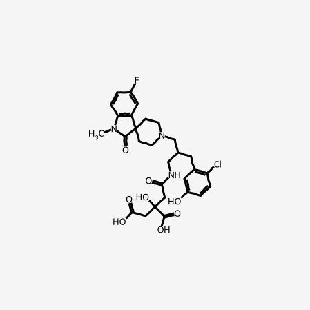 CN1C(=O)C2(CCN(CC(CNC(=O)CC(O)(CC(=O)O)C(=O)O)Cc3cc(O)ccc3Cl)CC2)c2cc(F)ccc21